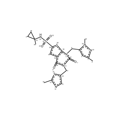 Cc1cc(Cn2c(=O)n(Cc3cnc(C)s3)c(=O)c3cc(S(=O)(=O)NC4(C)CC4)sc32)n(C)n1